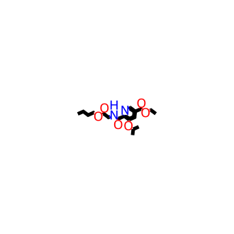 CCCCOC(=O)CNC(=O)c1ncc(C(=O)OCC)cc1OC(C)C